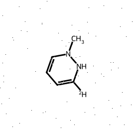 [2H]C1=CC=CN(C)N1